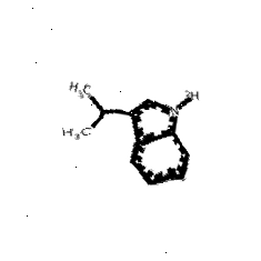 [2H]n1cc(C(C)C)c2ccccc21